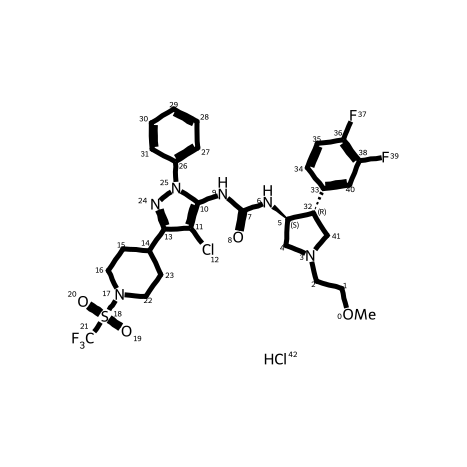 COCCN1C[C@@H](NC(=O)Nc2c(Cl)c(C3CCN(S(=O)(=O)C(F)(F)F)CC3)nn2-c2ccccc2)[C@H](c2ccc(F)c(F)c2)C1.Cl